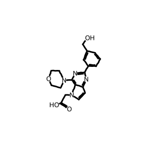 O=C(O)Cn1ccc2nc(-c3cccc(CO)c3)nc(N3CCOCC3)c21